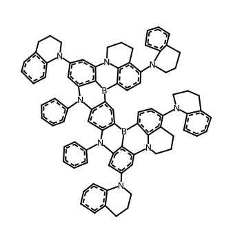 c1ccc(N2c3cc4c(cc3B3c5ccc(N6CCCc7ccccc76)c6c5N(CCC6)c5cc(N6CCCc7ccccc76)cc2c53)B2c3ccc(N5CCCc6ccccc65)c5c3N(CCC5)c3cc(N5CCCc6ccccc65)cc(c32)N4c2ccccc2)cc1